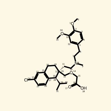 COc1ccc(CCN(C)CC[C@@]2(COCC(=O)O)CCc3cc(Cl)ccc3[C@@H]2C(C)C)cc1OC